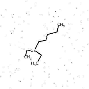 CCCC[CH2][Ga]([CH2]C)[CH2]C